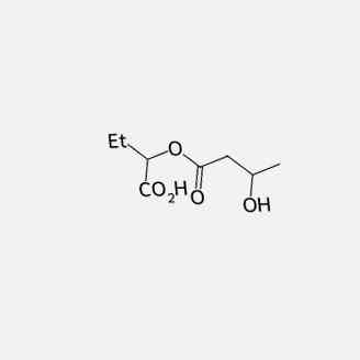 CCC(OC(=O)CC(C)O)C(=O)O